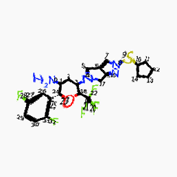 NC1CC(N2Cc3cn(SC4CCCC4)nc3C2)C(C(F)(F)F)O[C@@H]1c1cc(F)ccc1F